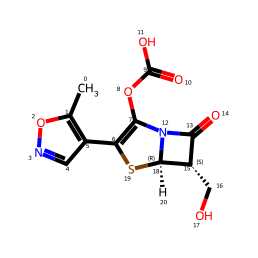 Cc1oncc1C1=C(OC(=O)O)N2C(=O)[C@H](CO)[C@H]2S1